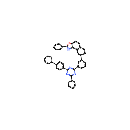 c1ccc(-c2ccc(-c3nc(-c4ccccc4)nc(-c4cccc(-c5ccc6ccc7oc(-c8ccccc8)nc7c6c5)c4)n3)cc2)cc1